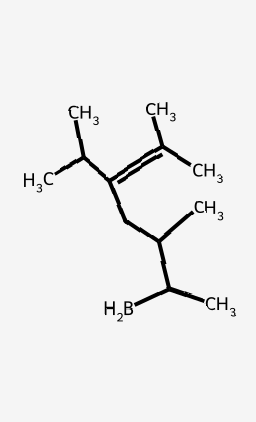 BC(C)C(C)CC(=C(C)C)C(C)C